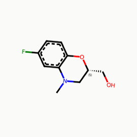 CN1C[C@@H](CO)Oc2ccc(F)cc21